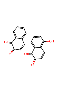 O=C1C=Cc2c(O)cccc2C1=O.O=C1C=Cc2ccccc2C1=O